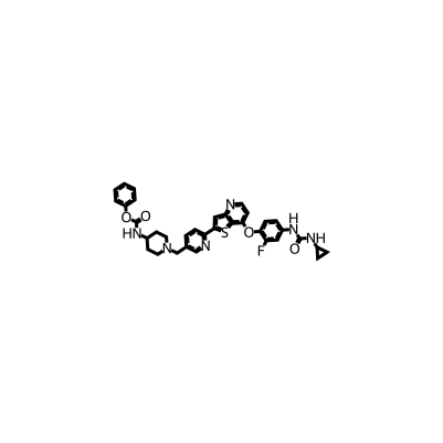 O=C(Nc1ccc(Oc2ccnc3cc(-c4ccc(CN5CCC(NC(=O)Oc6ccccc6)CC5)cn4)sc23)c(F)c1)NC1CC1